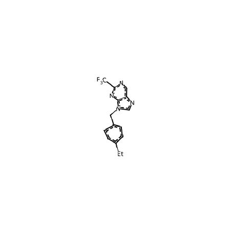 CCc1ccc(Cn2cnc3cnc(C(F)(F)F)nc32)cc1